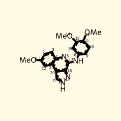 COc1ccc2nc(Nc3ccc(OC)c(OC)c3)c3n[nH]cc3c2c1